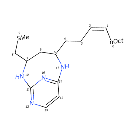 CCCCCCCC/C=C\CCC1CC(CSC)Nc2nccc(n2)N1